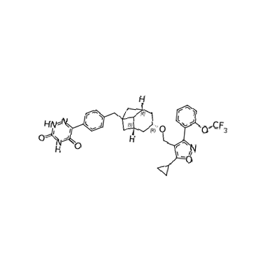 O=c1[nH]nc(-c2ccc(CC34C[C@H]5C[C@@H](OCc6c(-c7ccccc7OC(F)(F)F)noc6C6CC6)C[C@@H](C3)C54)cc2)c(=O)[nH]1